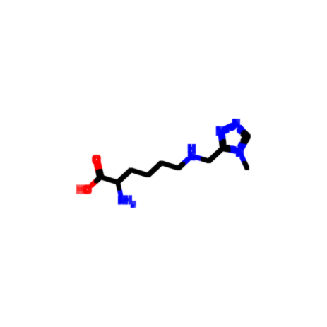 Cn1cnnc1CNCCCCC(N)C(=O)O